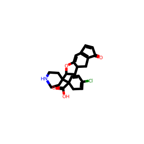 O=C1C=CC2=C1CC1CC(C3(C4(C(=O)O)C=CC(Cl)=CC4)CCNCC3)OC1=C2